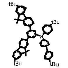 CC(C)(C)c1ccc(-c2ccc(N(c3ccc(C(C)(C)C)cc3)c3cc(-c4ccc5c(c4)C(C)(C)c4cc(C(C)(C)C)ccc4-5)cc(-c4ccc5c(c4)C(C)(C)c4cc(C(C)(C)C)ccc4-5)c3)cc2)cc1